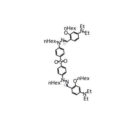 CCCCCCOc1cc(N(CC)CC)ccc1/C=N/N(CCCCCC)c1ccc(S(=O)(=O)c2ccc(N(CCCCCC)/N=C/c3ccc(N(CC)CC)cc3OCCCCCC)cc2)cc1